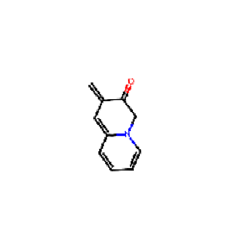 C=C1C=C2C=CC=CN2CC1=O